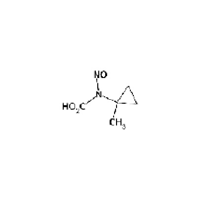 CC1(N(N=O)C(=O)O)CC1